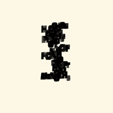 CNC(=O)OC(C)C(=O)NC(C(=O)N1CCC[C@H]1Cn1c(-c2[nH]c3cc(F)ccc3c2C[C@@H]2CCCN2C(=O)C(C(C)C)N(C)C(=O)C(C)N(C)C(=O)OC(C)(C)C)nc2cc(F)ccc21)C(C)C